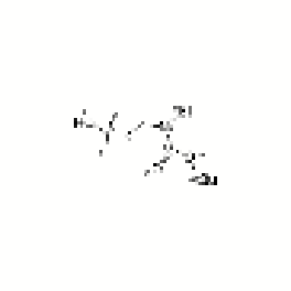 CCN(CCC(C)(C)O)C(=O)OC(C)(C)C